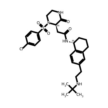 CC(C)(C)NCCc1ccc2c(c1)CCC[C@H]2NC(=O)C[C@@H]1C(=O)NCCN1S(=O)(=O)c1ccc(Cl)cc1